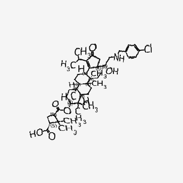 CC(C)C1=C2[C@H]3CC[C@@H]4[C@@]5(C)CC[C@H](OC(=O)[C@@H]6C[C@H](C(=O)O)C6(C)C)C(C)(C)[C@@H]5CC[C@@]4(C)[C@]3(C)CC[C@@]2([C@@H](O)CNCc2ccc(Cl)cc2)CC1=O